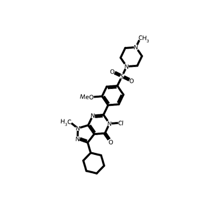 COc1cc(S(=O)(=O)N2CCN(C)CC2)ccc1-c1nc2c(c(C3CCCCC3)nn2C)c(=O)n1Cl